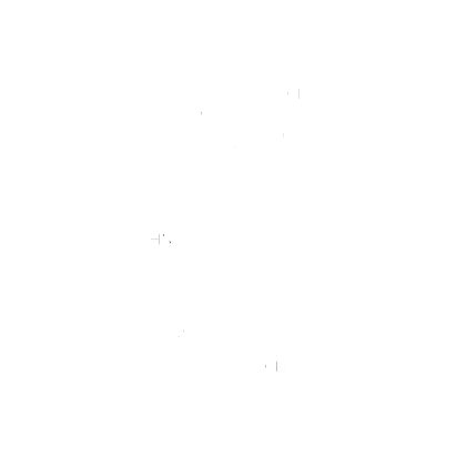 CCC1OCC12CC=C(C(=O)OC)CN2